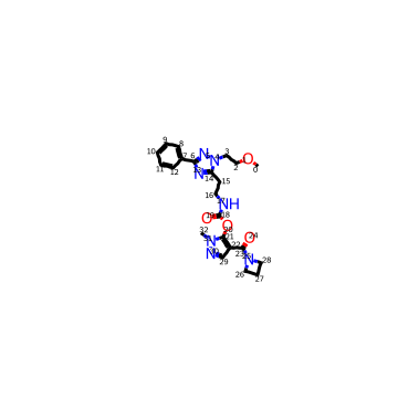 COCCn1nc(-c2ccccc2)nc1CCNC(=O)Oc1c(C(=O)N2CCC2)cnn1C